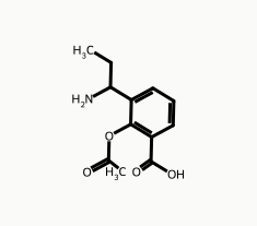 CCC(N)c1cccc(C(=O)O)c1OC(C)=O